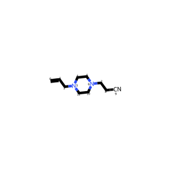 C=CCN1CCN(CCC#N)CC1